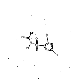 CC(C)N(C(=N)N)S(=O)(=O)c1sc(Cl)cc1Br